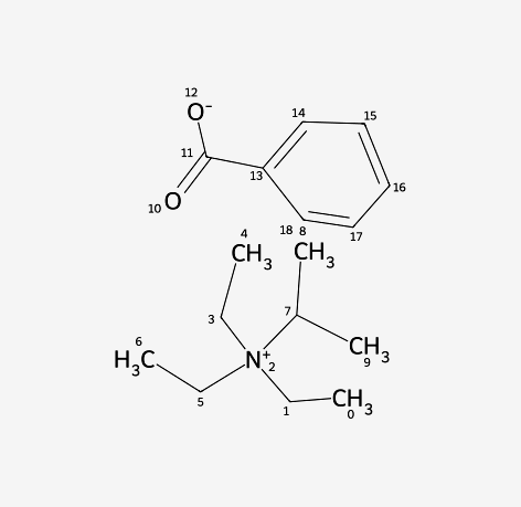 CC[N+](CC)(CC)C(C)C.O=C([O-])c1ccccc1